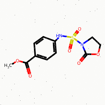 COC(=O)c1ccc(NS(=O)(=O)N2CCOC2=O)cc1